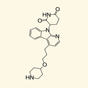 O=C1CCC(n2c3ccccc3c3c(CCCOC4CCNCC4)ccnc32)C(=O)N1